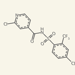 O=C(NS(=O)(=O)c1ccc(Cl)cc1C(F)(F)F)c1ccnc(Cl)c1